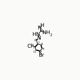 [H]/N=C(\N)NN=Cc1ccc(Br)cc1Cl